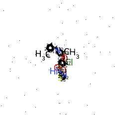 Cc1cccc(CN2CCC(Oc3ccc(S(=O)(=O)Nc4nccs4)cc3Cl)[C@H](C)C2)c1